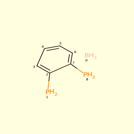 B.Pc1ccccc1P